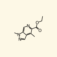 CCOC(=O)c1ncc2c(cnn2C)c1C